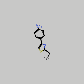 CCc1nc(-c2ccc(N)cc2)cs1